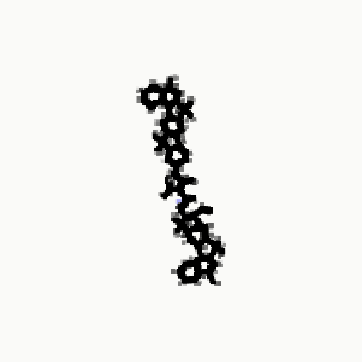 C=CC1=C(/C=C(\C)c2c(C)oc(-c3ccc4c(c3)C(C)(C)c3cc5c(cc3-4)C(C)(C)c3cc(C)c4ccccc4c3-5)c2C)C(C)(C)c2cc3c(cc21)C(C)(C)c1cc(C)c2ccccc2c1-3